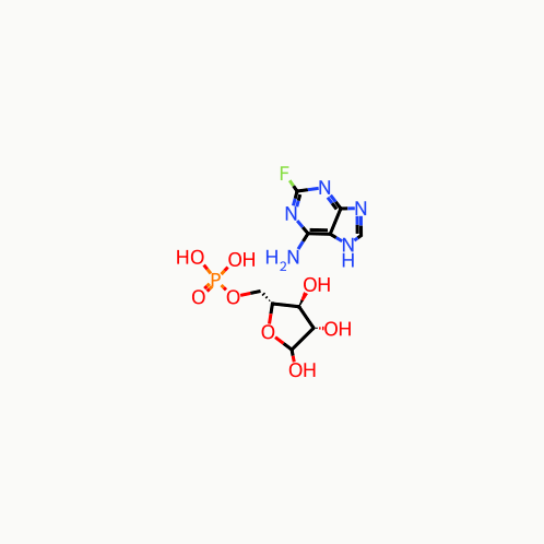 Nc1nc(F)nc2nc[nH]c12.O=P(O)(O)OC[C@H]1OC(O)[C@@H](O)[C@@H]1O